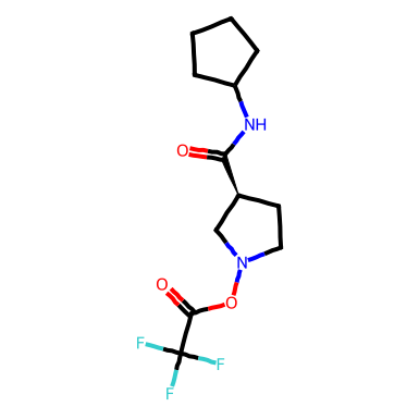 O=C(NC1CCCC1)[C@H]1CCN(OC(=O)C(F)(F)F)C1